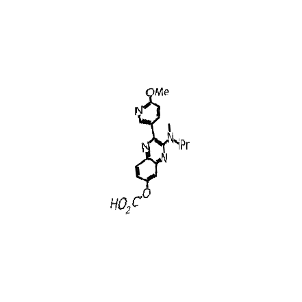 COc1ccc(-c2nc3ccc(OC(=O)O)cc3nc2N(C)C(C)C)cn1